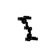 COc1cc(SCCNC(=O)CSc2ccc(O)c(OC)c2)ccc1O